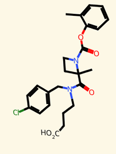 Cc1ccccc1OC(=O)N1CCC1(C)C(=O)N(CCCC(=O)O)Cc1ccc(Cl)cc1